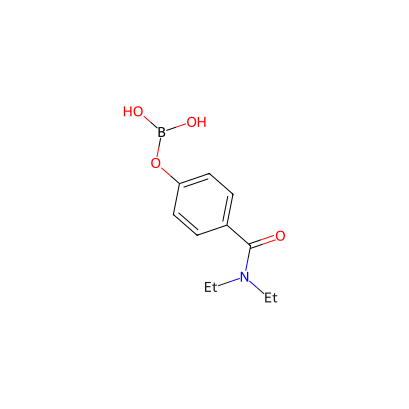 CCN(CC)C(=O)c1ccc(OB(O)O)cc1